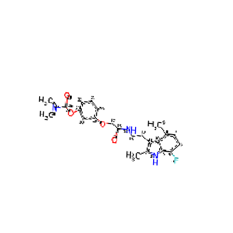 Cc1[nH]c2c(F)ccc(C)c2c1CCNC(=O)COc1cccc(OC(=O)N(C)C)c1